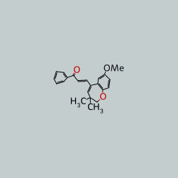 COc1ccc2c(c1)C(C=CC(=O)c1ccccc1)=CC(C)(C)CO2